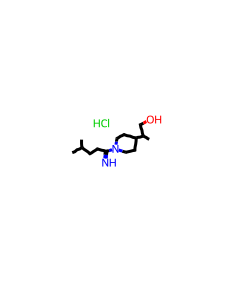 CC(C)CCC(=N)N1CCC(C(C)CO)CC1.Cl